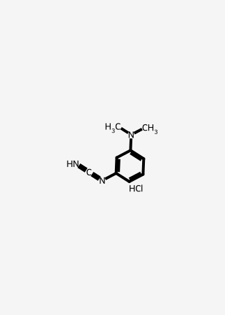 CN(C)c1cccc(N=C=N)c1.Cl